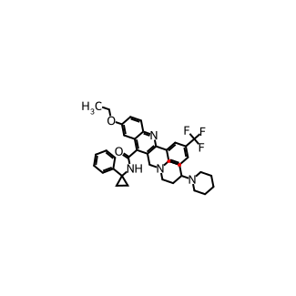 CCOc1ccc2nc(-c3cccc(C(F)(F)F)c3)c(CN3CCC(N4CCCCC4)CC3)c(C(=O)NC3(c4ccccc4)CC3)c2c1